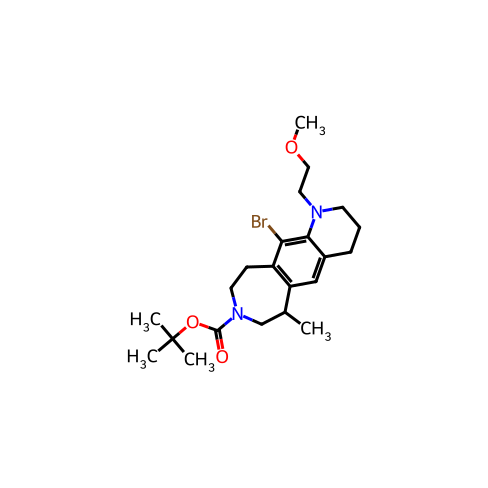 COCCN1CCCc2cc3c(c(Br)c21)CCN(C(=O)OC(C)(C)C)CC3C